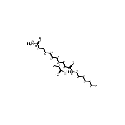 CCC(=O)O.CCCCCCCNC(=O)CCCCCCCCCC(N)=O